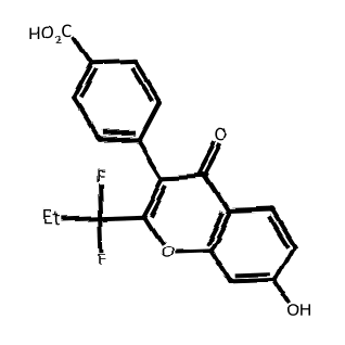 CCC(F)(F)c1oc2cc(O)ccc2c(=O)c1-c1ccc(C(=O)O)cc1